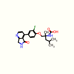 CC(C)CC(C)(COc1ccc(-c2ccnc3c2C(=O)NC3)cc1F)NC(=O)O